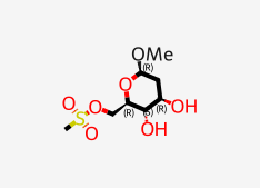 CO[C@H]1C[C@@H](O)[C@H](O)[C@@H](COS(C)(=O)=O)O1